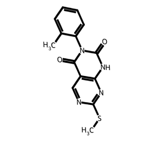 CSc1ncc2c(=O)n(-c3ccccc3C)c(=O)[nH]c2n1